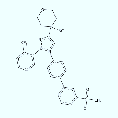 [C-]#[N+]C1(c2cn(-c3ccc(-c4cccc(S(C)(=O)=O)c4)cc3)c(-c3ccccc3C(F)(F)F)n2)CCOCC1